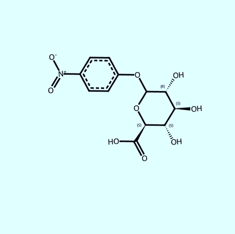 O=C(O)[C@H]1OC(Oc2ccc([N+](=O)[O-])cc2)[C@H](O)[C@@H](O)[C@@H]1O